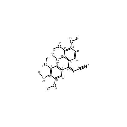 COc1cc(C(=CC#N)c2ccc(OC)c(OC)c2OC)cc(OC)c1OC